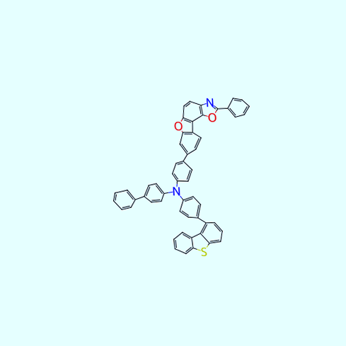 c1ccc(-c2ccc(N(c3ccc(-c4ccc5c(c4)oc4ccc6nc(-c7ccccc7)oc6c45)cc3)c3ccc(-c4cccc5sc6ccccc6c45)cc3)cc2)cc1